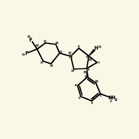 Nc1cc[c]c([C@]23C[C@H]2CN(C2CCC(F)(F)CC2)C3)c1